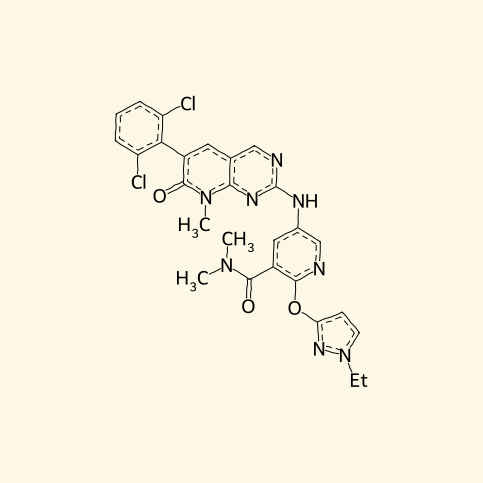 CCn1ccc(Oc2ncc(Nc3ncc4cc(-c5c(Cl)cccc5Cl)c(=O)n(C)c4n3)cc2C(=O)N(C)C)n1